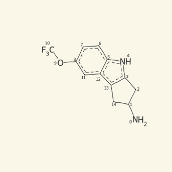 NC1Cc2[nH]c3ccc(OC(F)(F)F)cc3c2C1